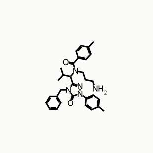 Cc1ccc(C(=O)N(CCCN)C(c2nn(-c3ccc(C)cc3)c(=O)n2Cc2ccccc2)C(C)C)cc1